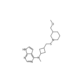 COCC1CCCN(SCC2CC(N(C)c3ncnc4[nH]ccc34)C2)C1